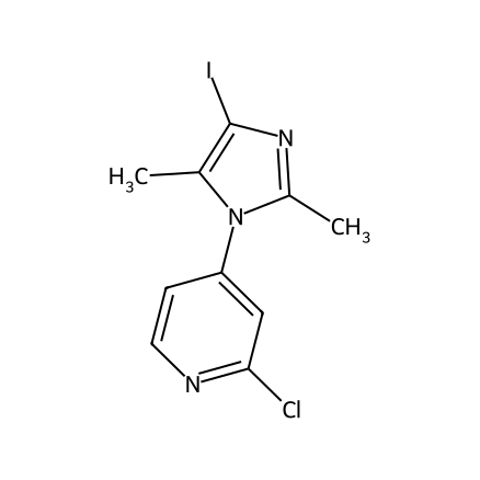 Cc1nc(I)c(C)n1-c1ccnc(Cl)c1